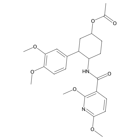 COc1ccc(C(=O)NC2CCC(OC(C)=O)CC2c2ccc(OC)c(OC)c2)c(OC)n1